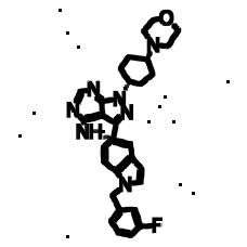 Nc1ncnc2c1c(-c1ccc3c(ccn3Cc3cccc(F)c3)c1)nn2[C@H]1CC[C@H](N2CCOCC2)CC1